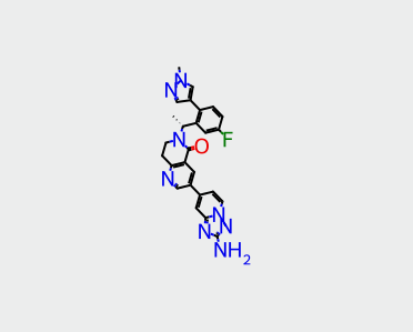 C[C@H](c1cc(F)ccc1-c1cnn(C)c1)N1CCc2ncc(-c3ccn4nc(N)nc4c3)cc2C1=O